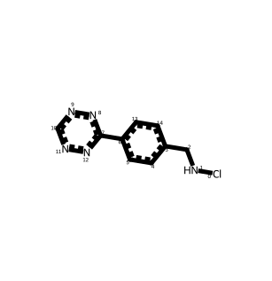 ClNCc1ccc(-c2nncnn2)cc1